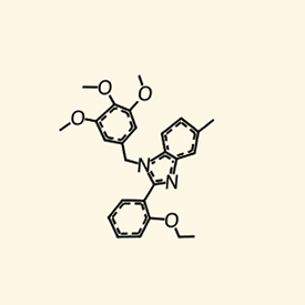 CCOc1ccccc1-c1nc2cc(C)ccc2n1Cc1cc(OC)c(OC)c(OC)c1